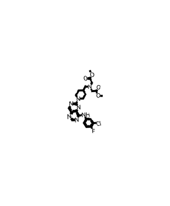 COC(=O)CN(CC(=O)OC)CC1CCN(c2ncc3ncnc(Nc4ccc(F)c(Cl)c4)c3n2)CC1